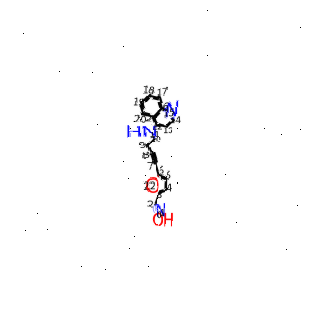 O/N=C/c1ccc(C#CCCNc2ccnc3ccccc23)o1